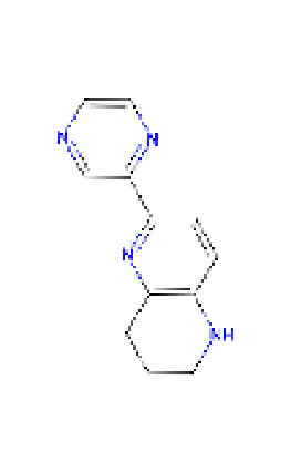 c1cnc(-c2ccc3c(n2)CCCN3)cn1